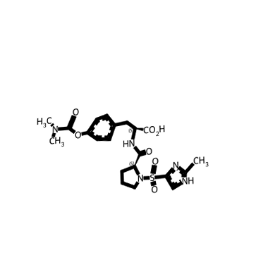 Cc1nc(S(=O)(=O)N2CCC[C@H]2C(=O)N[C@@H](Cc2ccc(OC(=O)N(C)C)cc2)C(=O)O)c[nH]1